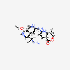 CCOc1ncc(C(C)(C)N)c2cc(Nc3ccc4c(n3)[C@@H](C)COC4=O)ncc12